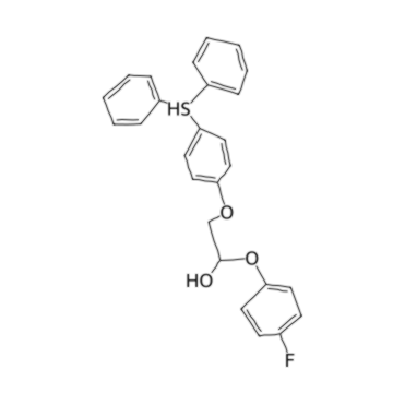 OC(COc1ccc([SH](c2ccccc2)c2ccccc2)cc1)Oc1ccc(F)cc1